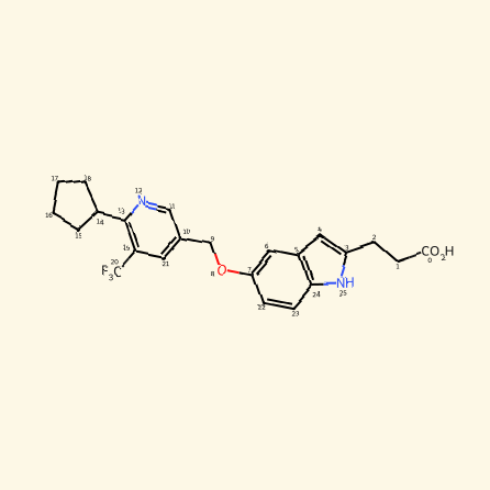 O=C(O)CCc1cc2cc(OCc3cnc(C4CCCC4)c(C(F)(F)F)c3)ccc2[nH]1